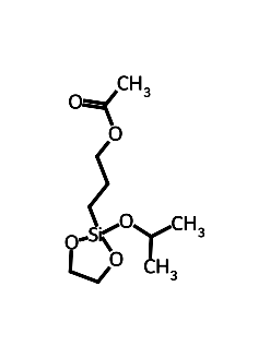 CC(=O)OCCC[Si]1(OC(C)C)OCCO1